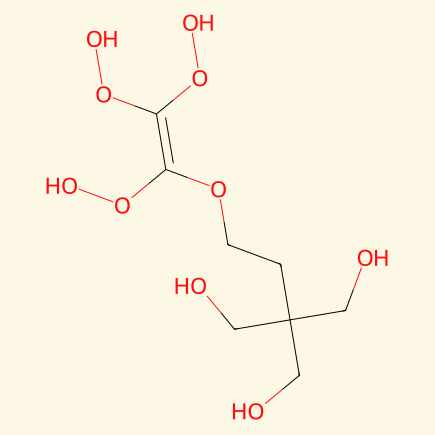 OCC(CO)(CO)CCOC(OO)=C(OO)OO